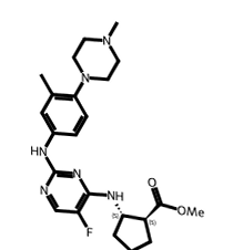 COC(=O)[C@H]1CCC[C@@H]1Nc1nc(Nc2ccc(N3CCN(C)CC3)c(C)c2)ncc1F